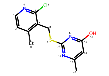 CCc1ccnc(Cl)c1CSc1nc(C)cc(O)n1